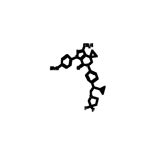 COc1ccc(-n2nc(C(=O)O)c3c2C(=O)N(c2ccc(C(CN4CCC(F)(F)C4)C4CC4)cc2)CC32CC2)cc1